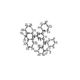 CC1(C)c2ccccc2N(c2cc(-c3ccccc3)nc(N3c4ccccc4C(C)(C)c4ccccc43)n2)c2ccccc21